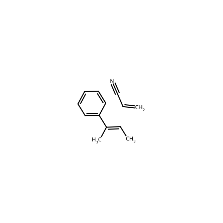 C=CC#N.CC=C(C)c1ccccc1